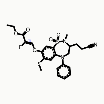 CCOC(=O)/C(F)=C/Oc1cc2c(cc1SC)N(c1ccccc1)CC(CCC#N)N(C)S2(=O)=O